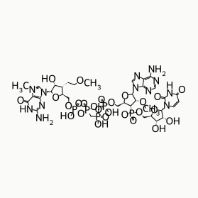 COCC[C@H]1[C@@H](O)[C@H](n2c[n+](C)c3c(=O)[nH]c(N)nc32)O[C@@H]1COP(=O)(O)OP(=O)(O)CP(=O)(O)OP(=O)(O)OC[C@H]1O[C@@H](n2cnc3c(N)ncnc32)[C@H](OC)[C@@H]1P(=O)([O-])OC[C@H]1O[C@@H](n2ccc(=O)[nH]c2=O)[C@H](O)[C@@H]1O